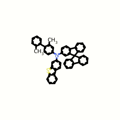 Cc1ccccc1-c1ccc(N(c2ccc3c(c2)C2(c4ccccc4-c4ccccc42)c2ccccc2-3)c2ccc3c(c2)sc2ccccc23)cc1C